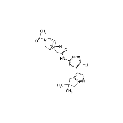 CC(=O)N1CC2CCC1C[C@@H]2CC(=O)Nc1cc(-c2cnn3c2CC(C)(C)C3)c(Cl)cn1